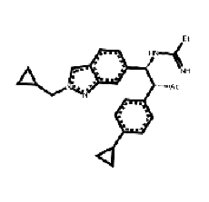 CCC(=N)N[C@H](c1ccc2cn(CC3CC3)nc2c1)[C@H](C(C)=O)c1ccc(C2CC2)cc1